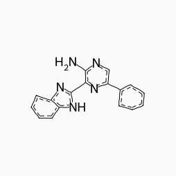 Nc1ncc(-c2ccccc2)nc1-c1nc2ccccc2[nH]1